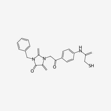 C=C(CS)Nc1ccc(C(=O)Cn2c(=C)c(=O)n(Cc3ccccc3)c2=C)cc1